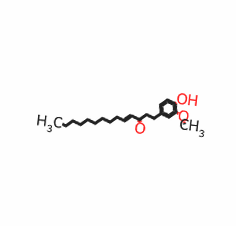 CCCCCCCCCC=CC(=O)CCc1ccc(O)c(OC)c1